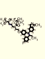 CC/C(=C(/c1ccc(OCCN(C/C=C/C(=O)N(C)C)C(=O)OC(C)(C)C)cc1)c1ccc2c(cnn2C)c1)c1ccc(F)cc1